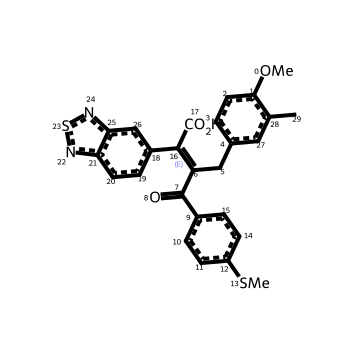 COc1ccc(C/C(C(=O)c2ccc(SC)cc2)=C(\C(=O)O)c2ccc3nsnc3c2)cc1C